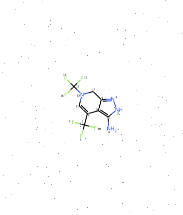 Nc1[nH]nc2c1C(C(F)(F)F)=CN(C(F)(F)F)C2